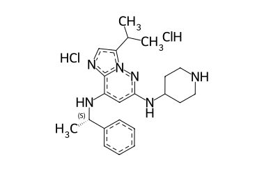 CC(C)c1cnc2c(N[C@@H](C)c3ccccc3)cc(NC3CCNCC3)nn12.Cl.Cl